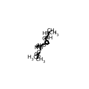 CC(C)NCCNC(=O)c1cccc(OCC(N=[N+]=[N-])OCCOCC(=O)OC(C)C)c1